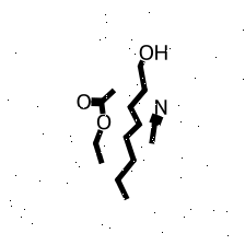 CC#N.CCCCCCCCO.CCOC(C)=O